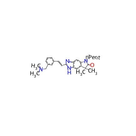 CCCCCN1C(=O)C(C)(C)c2cc3[nH]c(C=Cc4cccc(CN(C)C)c4)nc3cc21